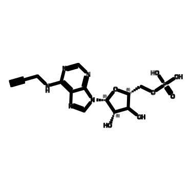 C#CCNc1ncnc2c1ncn2[C@@H]1O[C@H](COP(=O)(O)O)C(O)[C@@H]1O